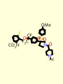 COc1ccc(S(=O)(=O)C2(c3ccc(C(OCc4c(F)cccc4C(=O)O)(C(F)(F)F)C(F)(F)F)cc3)CCN(C(=O)C3CCN(C(C)=O)CC3)C2)cc1